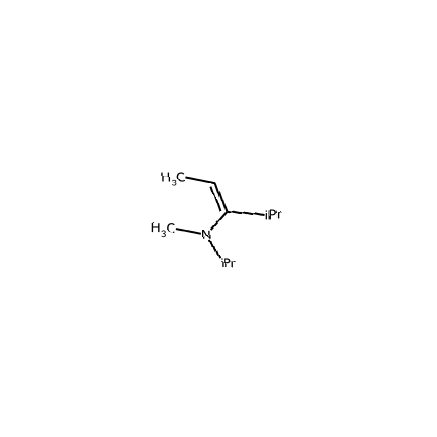 C/C=C(/C(C)C)N(C)C(C)C